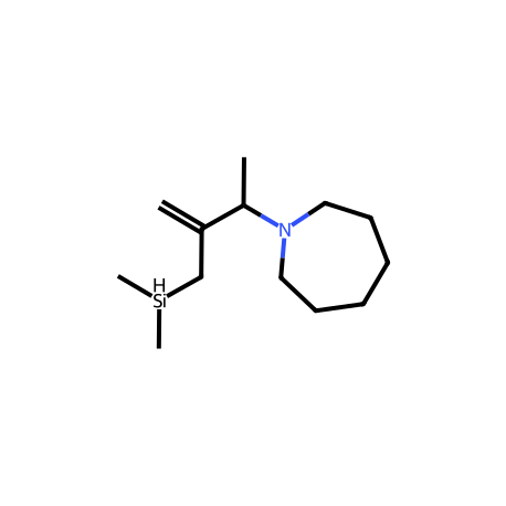 C=C(C[SiH](C)C)C(C)N1CCCCCC1